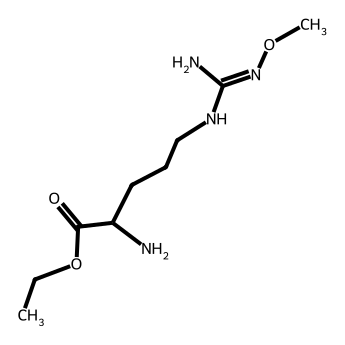 CCOC(=O)C(N)CCCN/C(N)=N/OC